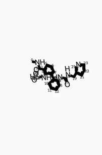 CNC(=O)c1cccc(-c2ccccc2NC(=O)NCc2cccnc2)c1N[SH](=O)=O